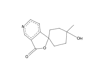 CC1(O)CCC2(CC1)OC(=O)c1cnccc12